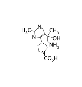 Cc1ncc(C(C)(O)CN)c(C2CCN(C(=O)O)CC2)n1